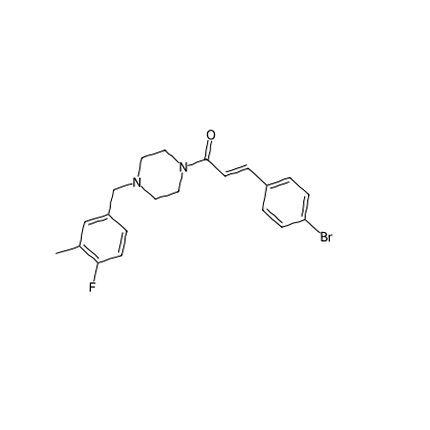 Cc1cc(CN2CCN(C(=O)/C=C/c3ccc(Br)cc3)CC2)ccc1F